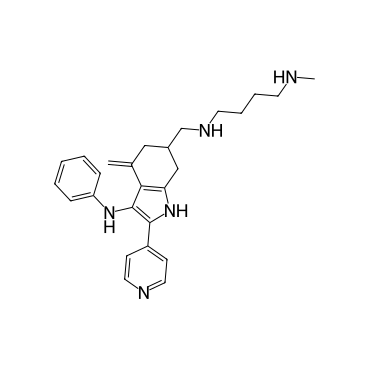 C=C1CC(CNCCCCNC)Cc2[nH]c(-c3ccncc3)c(Nc3ccccc3)c21